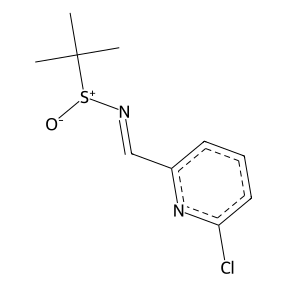 CC(C)(C)[S+]([O-])N=Cc1cccc(Cl)n1